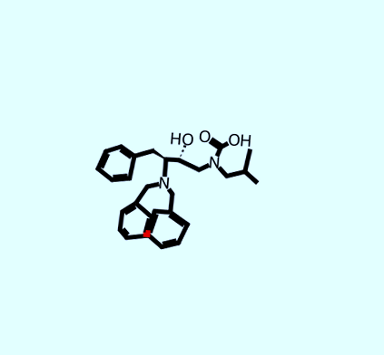 CC(C)CN(C[C@@H](O)[C@H](Cc1ccccc1)N(Cc1ccccc1)Cc1ccccc1)C(=O)O